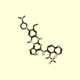 CCc1cc(Nc2nc(Nc3ccc4nccnc4c3N(C)S(C)(=O)=O)c3[nH]ccc3n2)c(OC)cc1N1CCC(N(C)C)C1